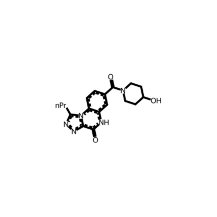 CCCc1nnc2c(=O)[nH]c3cc(C(=O)N4CCC(O)CC4)ccc3n12